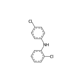 Clc1ccc(Nc2ccccc2Cl)cc1